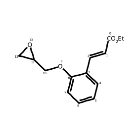 CCOC(=O)/C=C/c1ccccc1OCC1CO1